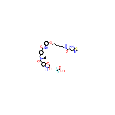 N[C@@H](Cc1cscn1)C(=O)NCCCCCCCOc1cccc(NC(=O)c2ccc(CN(C(=O)c3ccc4c(c3)OCC(=O)N4)C3CC3)cc2)c1.O=C(O)C(F)(F)F